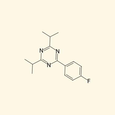 CC(C)c1nc(-c2ccc(F)cc2)nc(C(C)C)n1